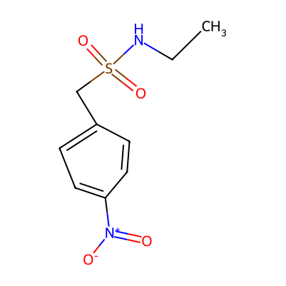 CCNS(=O)(=O)Cc1ccc([N+](=O)[O-])cc1